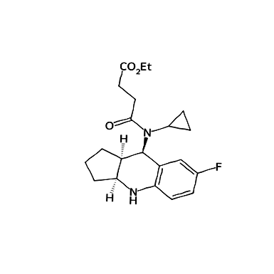 CCOC(=O)CCC(=O)N(C1CC1)[C@H]1c2cc(F)ccc2N[C@H]2CCC[C@H]21